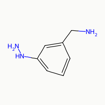 NCc1cccc(NN)c1